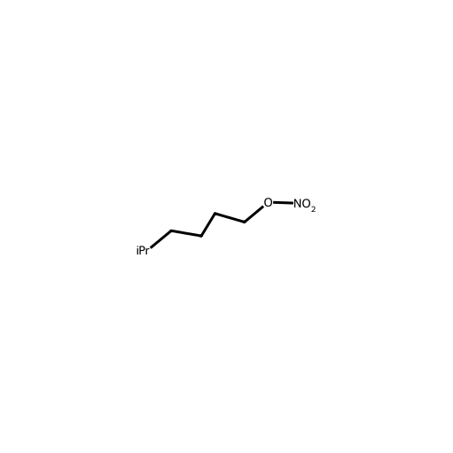 CC(C)CCCCO[N+](=O)[O-]